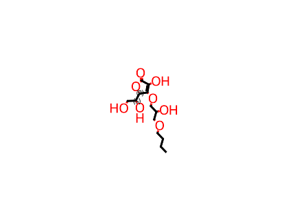 CCCCOCC(O)COC1=C(O)C(=O)O[C@@H]1[C@@H](O)CO